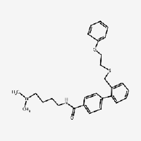 CN(C)CCCCNC(=O)c1ccc(-c2ccccc2CSCCOc2ccccc2)cc1